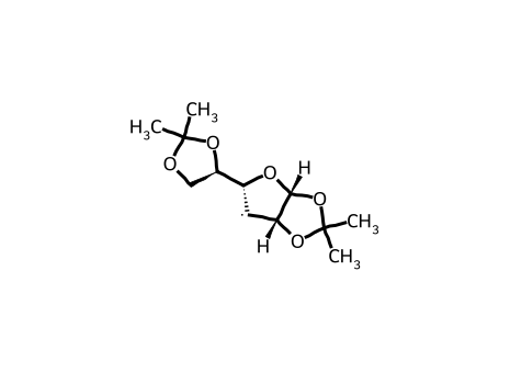 CC1(C)O[C@H]2O[C@@H]([C@H]3COC(C)(C)O3)[CH][C@H]2O1